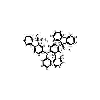 CC1(C)c2ccccc2-c2ccc(N(c3ccccc3)c3ccc(C4(C)c5ccccc5-c5ccccc54)c4oc5ccccc5c34)cc21